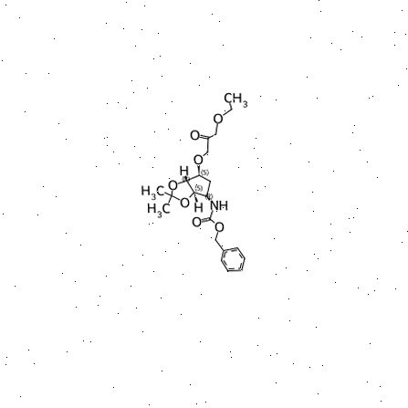 CCOCC(=O)CO[C@H]1C[C@@H](NC(=O)OCc2ccccc2)[C@@H]2OC(C)(C)O[C@@H]21